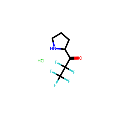 Cl.O=C(C1CCCN1)C(F)(F)C(F)(F)F